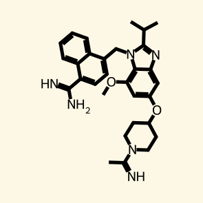 COc1cc(OC2CCN(C(C)=N)CC2)cc2nc(C(C)C)n(Cc3ccc(C(=N)N)c4ccccc34)c12